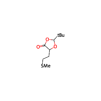 CSCCC1OC(C(C)(C)C)OC1=O